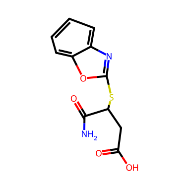 NC(=O)C(CC(=O)O)Sc1nc2ccccc2o1